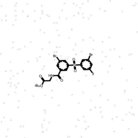 CC(C)COC(=O)CNC(=O)c1cc(Br)cc(S(=O)(=O)c2cc(F)cc(Br)c2)c1